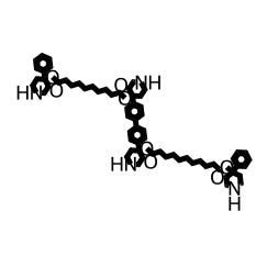 O=C(CCCCCCCCCC(=O)OC1(c2ccc(-c3ccc(C4(OC(=O)CCCCCCCCC(=O)OC5(c6ccccc6)CCNCC5)CCNCC4)cc3)cc2)CCNCC1)OC1(c2ccccc2)CCNCC1